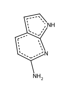 Nc1ccc2cc[nH]c2n1